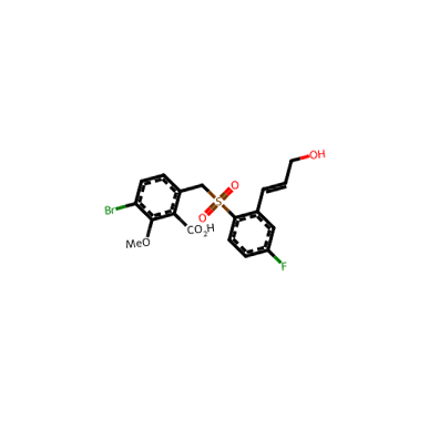 COc1c(Br)ccc(CS(=O)(=O)c2ccc(F)cc2C=CCO)c1C(=O)O